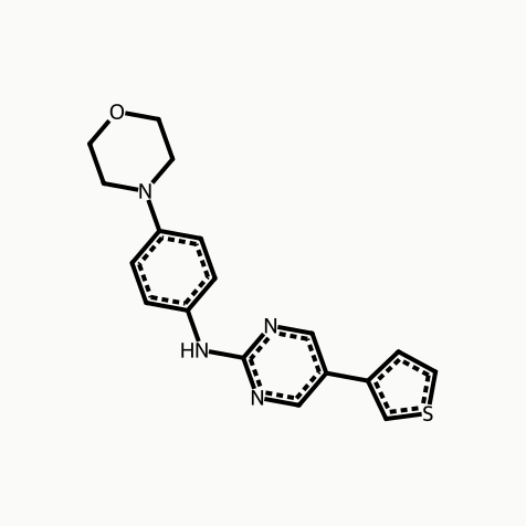 c1cc(-c2cnc(Nc3ccc(N4CCOCC4)cc3)nc2)cs1